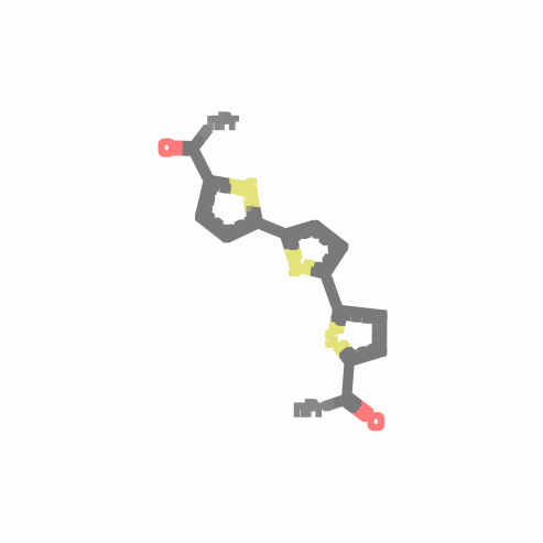 CCCC(=O)c1ccc(-c2ccc(-c3ccc(C(=O)CCC)s3)s2)s1